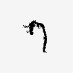 COc1cnc(-n2cnc(C(=O)NCCCN(CCCN3CCN(CCOCCOCCOCCOCc4cn(CCOCCOCCOCCOCCC(C)=O)nn4)CC3)C(=O)CCO)n2)c2[nH]cc(C(=O)C(=O)N3CCC(=C(C#N)c4ccccc4)CC3)c12